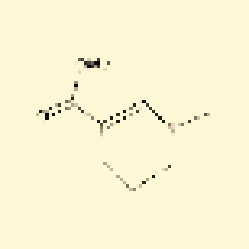 COC(=O)C1=CN(C)CCC1